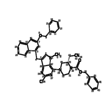 Cn1cc(Cc2cc(OCc3ccccc3)cc3ccccc23)c2nc(Cl)nc(N3CCN(C(=O)OCc4ccccc4)[C@@H](CC#N)C3)c21